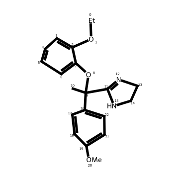 CCOc1ccccc1OC(C)(C1=NCCN1)c1ccc(OC)cc1